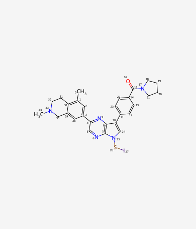 Cc1cc(-c2cnc3c(n2)c(-c2ccc(C(=O)N4CCCC4)cc2)cn3SI)cc2c1CCN(C)C2